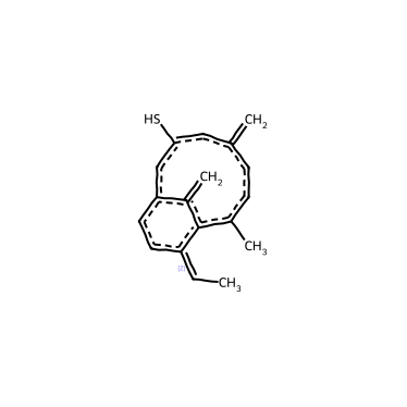 C=c1ccc(C)c2c(=C)c(cc/c2=C/C)cc(S)c1